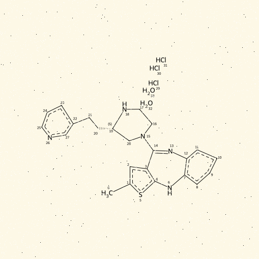 Cc1cc2c(s1)Nc1ccccc1N=C2N1CCN[C@@H](CCc2cccnc2)C1.Cl.Cl.Cl.O.O